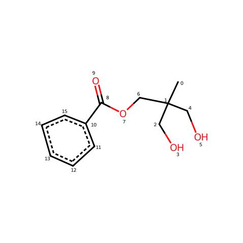 CC(CO)(CO)COC(=O)c1ccccc1